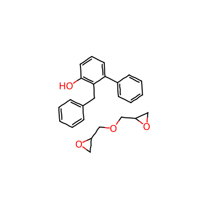 C(OCC1CO1)C1CO1.Oc1cccc(-c2ccccc2)c1Cc1ccccc1